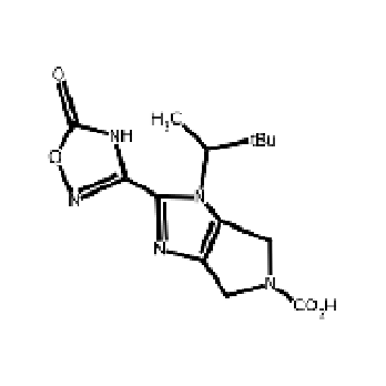 CC(n1c(-c2noc(=O)[nH]2)nc2c1CN(C(=O)O)C2)C(C)(C)C